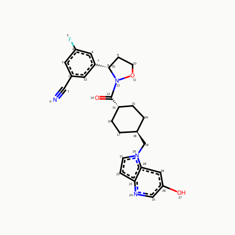 N#Cc1cc(F)cc([C@@H]2CCON2C(=O)[C@H]2CC[C@H](Cn3ccc4ncc(O)cc43)CC2)c1